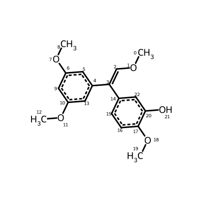 COC=C(c1cc(OC)cc(OC)c1)c1ccc(OC)c(O)c1